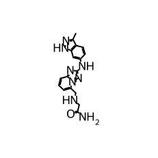 Cc1n[nH]c2cc(Nc3nc4cccc(CNCC(N)=O)n4n3)ccc12